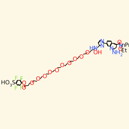 CCCN(OCC)C(=O)C1=Cc2ccc(-c3nccc(CNC(O)CCOCCOCCOCCOCCOCCOCCOCCOCCOCCOCCC(=O)Oc4c(F)c(F)c(S(=O)(=O)O)c(F)c4F)n3)cc2N=C(N)C1